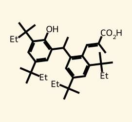 CCC(C)(C)c1cc(C(C)c2cc(C(C)(C)CC)cc(C(C)(C)CC)c2C=C(C)C(=O)O)c(O)c(C(C)(C)CC)c1